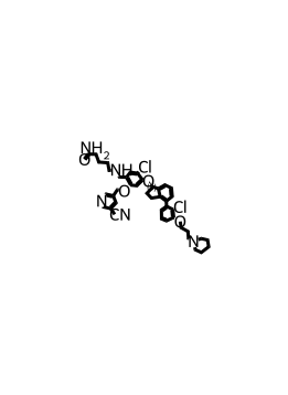 N#Cc1cncc(COc2cc(O[C@H]3CCc4c(-c5cccc(OCCCN6CCCCC6)c5Cl)cccc43)c(Cl)cc2CNCCCCC(N)=O)c1